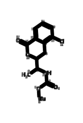 CC(NC(=O)OC(C)(C)C)C1Cc2c(Cl)cccc2C(=O)O1